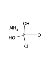 O=P(O)(O)Cl.[AlH3]